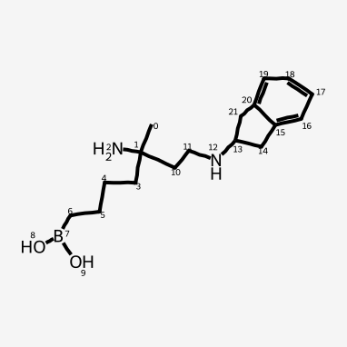 CC(N)(CCCCB(O)O)CCNC1Cc2ccccc2C1